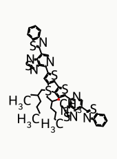 CCCCC(CC)CS1(CC(CC)CCCC)c2cc(-c3ncc(-c4nc5ccccc5s4)c4nsnc34)sc2-c2sc(-c3ncc(-c4nc5ccccc5s4)c4nsnc34)cc21